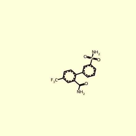 NC(=O)c1cc(C(F)(F)F)ccc1-c1cccc(S(N)(=O)=O)c1